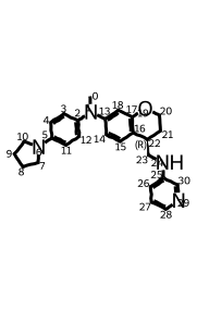 CN(c1ccc(N2CCCC2)cc1)c1ccc2c(c1)OCC[C@H]2CNc1cccnc1